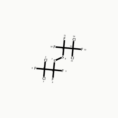 FC(Cl)(Cl)C(F)(F)SSC(F)(F)C(F)(Cl)Cl